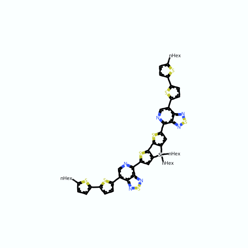 CCCCCCc1ccc(-c2ccc(-c3cnc(-c4cc5c(s4)-c4sc(-c6ncc(-c7ccc(-c8ccc(CCCCCC)s8)s7)c7nsnc67)cc4[Si]5(CCCCCC)CCCCCC)c4nsnc34)s2)s1